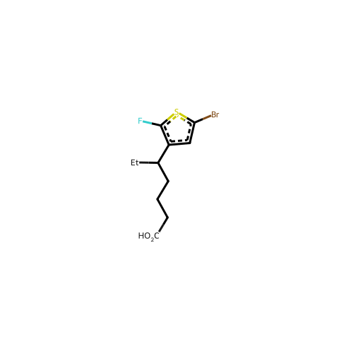 CCC(CCCC(=O)O)c1cc(Br)sc1F